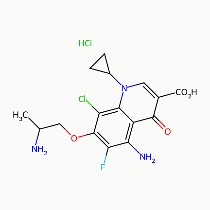 CC(N)COc1c(F)c(N)c2c(=O)c(C(=O)O)cn(C3CC3)c2c1Cl.Cl